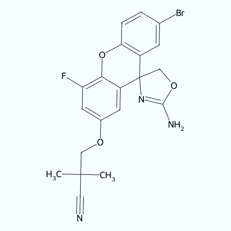 CC(C)(C#N)COc1cc(F)c2c(c1)C1(COC(N)=N1)c1cc(Br)ccc1O2